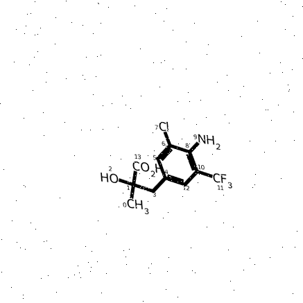 CC(O)(Cc1cc(Cl)c(N)c(C(F)(F)F)c1)C(=O)O